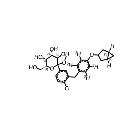 [2H]c1c([2H])c(OC2C[C@@H]3C[C@@H]3C2)c([2H])c([2H])c1Cc1cc(C2(OC)O[C@H](CO)[C@@H](O)[C@H](O)[C@H]2O)ccc1Cl